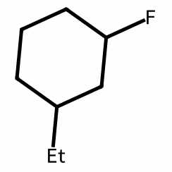 CCC1CCCC(F)C1